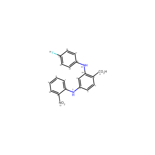 O=C(O)c1ccc(Nc2ccccc2[N+](=O)[O-])cc1Nc1ccc(F)cc1